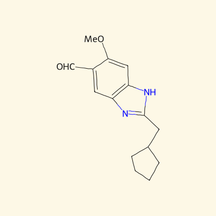 COc1cc2[nH]c(CC3CCCC3)nc2cc1C=O